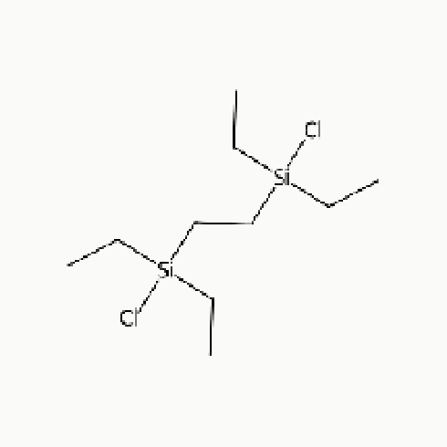 CC[Si](Cl)(CC)CC[Si](Cl)(CC)CC